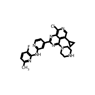 Cc1ccc(F)c(Nc2cc(-c3nc(N4CCNCC4)c4c(C5CC5)cnc(Cl)c4n3)ccn2)n1